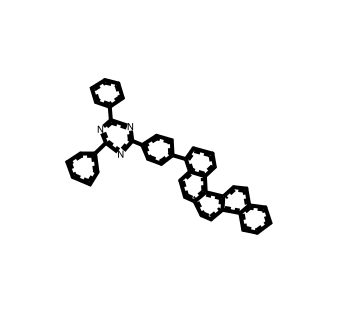 c1ccc(-c2nc(-c3ccccc3)nc(-c3ccc(-c4cccc5c4ccc4ccc6c7ccccc7ccc6c45)cc3)n2)cc1